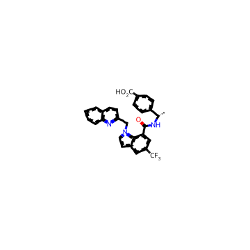 C[C@H](NC(=O)c1cc(C(F)(F)F)cc2ccn(Cc3ccc4ccccc4n3)c12)c1ccc(C(=O)O)cc1